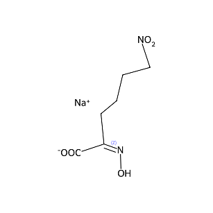 O=C([O-])/C(CCCC[N+](=O)[O-])=N\O.[Na+]